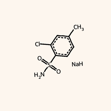 Cc1ccc(S(N)(=O)=O)c(Cl)c1.[NaH]